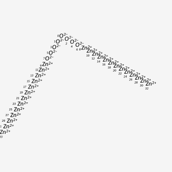 [O-2].[O-2].[O-2].[O-2].[O-2].[O-2].[O-2].[O-2].[Zn+2].[Zn+2].[Zn+2].[Zn+2].[Zn+2].[Zn+2].[Zn+2].[Zn+2].[Zn+2].[Zn+2].[Zn+2].[Zn+2].[Zn+2].[Zn+2].[Zn+2].[Zn+2].[Zn+2].[Zn+2].[Zn+2].[Zn+2].[Zn+2].[Zn+2].[Zn+2].[Zn+2].[Zn+2].[Zn+2]